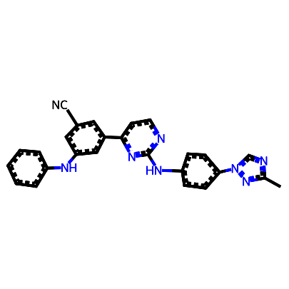 Cc1ncn(-c2ccc(Nc3nccc(-c4cc(C#N)cc(Nc5ccccc5)c4)n3)cc2)n1